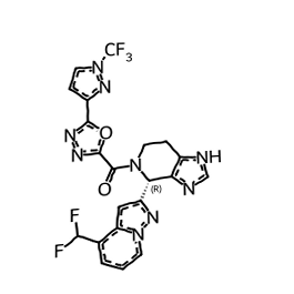 O=C(c1nnc(-c2ccn(C(F)(F)F)n2)o1)N1CCc2[nH]cnc2[C@@H]1c1cc2c(C(F)F)cccn2n1